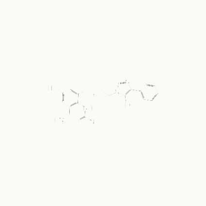 CCc1c(-c2ccccc2)ncn1CCCOc1cc(O)cc(CN)c1NC(N)=O